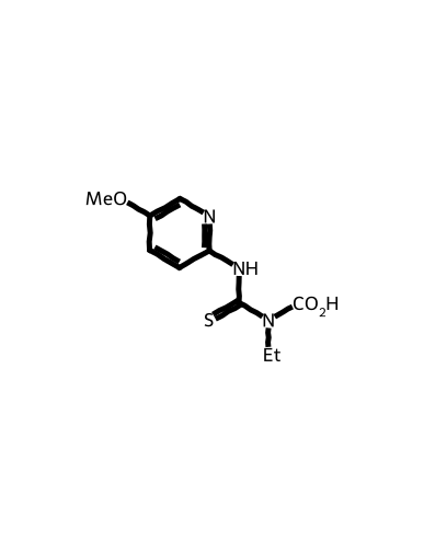 CCN(C(=O)O)C(=S)Nc1ccc(OC)cn1